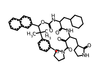 CC(C)(c1cccc(Cl)c1)C(OC(=O)NC(CC1CCCCC1)C(=O)NC(CC1CCNC1=O)C(=O)C(=O)N1CCCC1)c1ccc2ccccc2c1